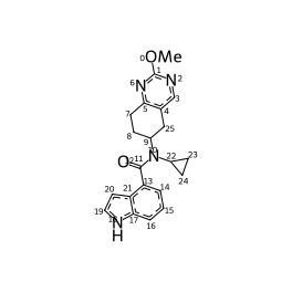 COc1ncc2c(n1)CCC(N(C(=O)c1cccc3[nH]ccc13)C1CC1)C2